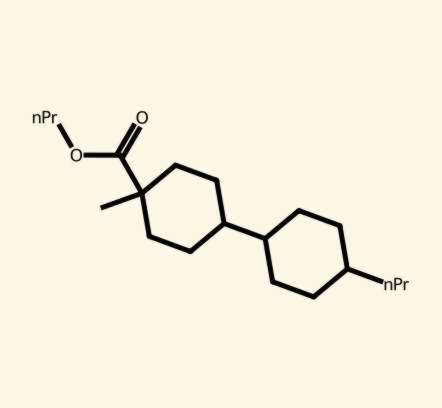 CCCOC(=O)C1(C)CCC(C2CCC(CCC)CC2)CC1